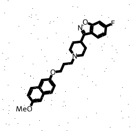 COc1ccc2cc(OCCCN3CCC(c4noc5cc(F)ccc45)CC3)ccc2c1